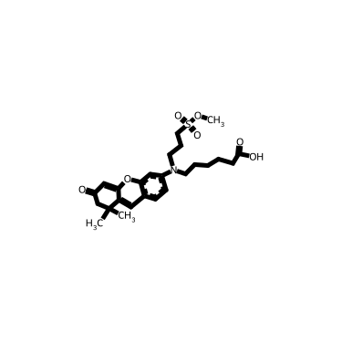 COS(=O)(=O)CCCN(CCCCCC(=O)O)c1ccc2c(c1)OC1=CC(=O)CC(C)(C)C1=C2